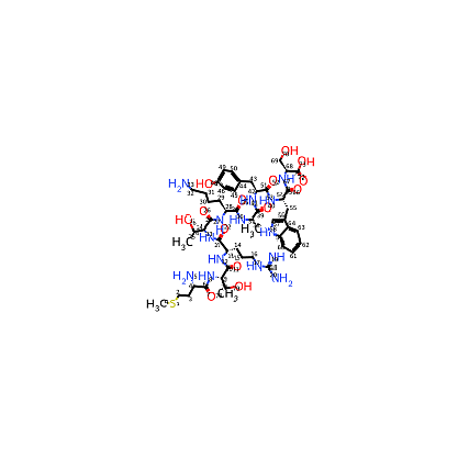 CSCC[C@H](N)C(=O)N[C@H](C(=O)N[C@@H](CCCNC(=N)N)C(=O)N[C@H](C(=O)N[C@@H](CCCCN)C(=O)N[C@@H](C)C(=O)N[C@@H](Cc1ccc(O)cc1)C(=O)N[C@@H](Cc1c[nH]c2ccccc12)C(=O)N[C@@H](CO)C(=O)O)[C@@H](C)O)[C@@H](C)O